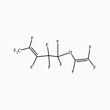 FC(F)=C(F)OC(F)(F)C(F)(F)C(F)=C(F)C(F)(F)F